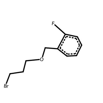 Fc1ccccc1COCCCBr